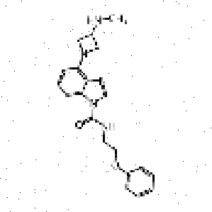 CNC1CN(c2cccc3c2ncn3C(=O)NCCOc2ccccc2)C1